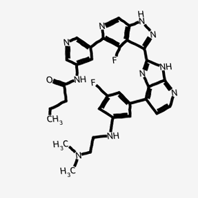 CCCC(=O)Nc1cncc(-c2ncc3[nH]nc(-c4nc5c(-c6cc(F)cc(NCCN(C)C)c6)ccnc5[nH]4)c3c2F)c1